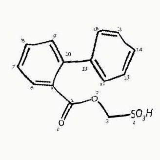 O=C(OCS(=O)(=O)O)c1ccccc1-c1ccccc1